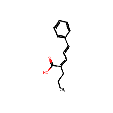 CCCC(=CC=Cc1ccccc1)C(=O)O